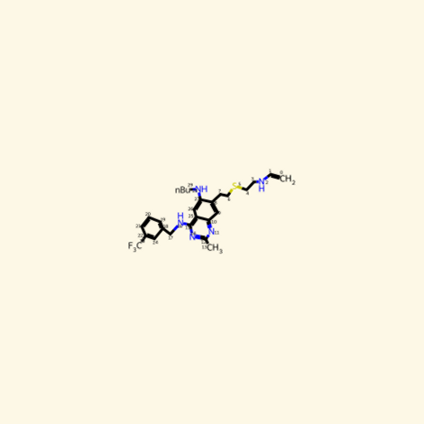 C=CNCCSCCc1cc2nc(C)nc(NCc3cccc(C(F)(F)F)c3)c2cc1NCCCC